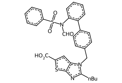 CCCCc1nc2sc(C(=O)O)cc2n1Cc1ccc(-c2ccccc2N(C=O)S(=O)(=O)c2ccccc2)cc1